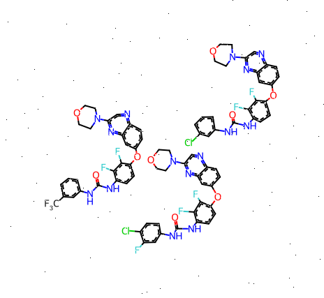 O=C(Nc1ccc(Cl)c(F)c1)Nc1ccc(Oc2ccc3ncc(N4CCOCC4)nc3c2)c(F)c1F.O=C(Nc1cccc(C(F)(F)F)c1)Nc1ccc(Oc2ccc3ncc(N4CCOCC4)nc3c2)c(F)c1F.O=C(Nc1cccc(Cl)c1)Nc1ccc(Oc2ccc3ncc(N4CCOCC4)nc3c2)c(F)c1F